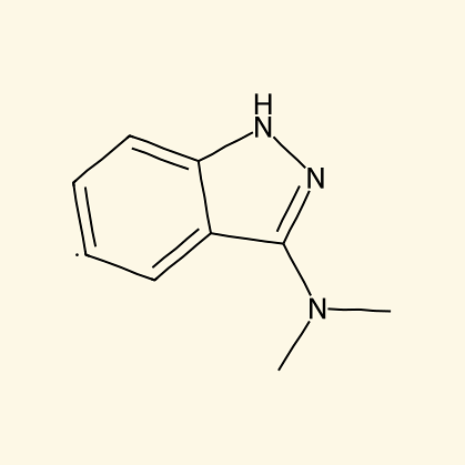 CN(C)c1n[nH]c2cc[c]cc12